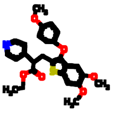 CCOC(=O)C(Cc1sc2cc(OC)c(OC)cc2c1Oc1ccc(OC)cc1)c1ccncc1